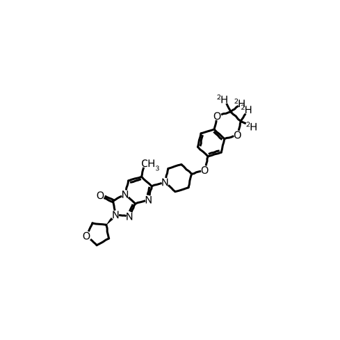 [2H]C1([2H])Oc2ccc(OC3CCN(c4nc5nn([C@H]6CCOC6)c(=O)n5cc4C)CC3)cc2OC1([2H])[2H]